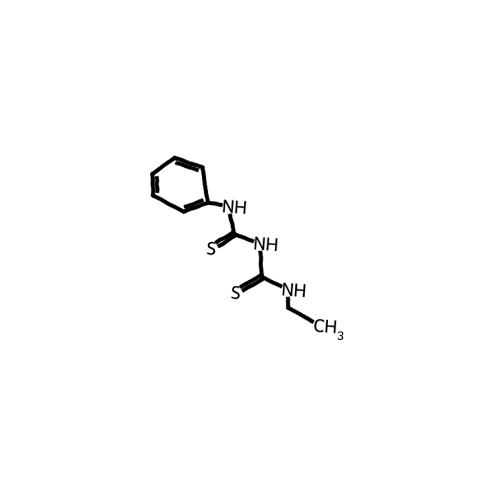 CCNC(=S)NC(=S)Nc1ccccc1